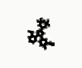 COc1ncccc1-c1nc(C2CC(C)(C)OC(C)(C)C2)cn1-c1ccc(F)c(C#N)c1